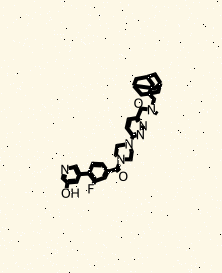 CN(CC12CC3CC(CC(C3)C1)C2)C(=O)c1ccc(N2CCN(C(=O)c3ccc(-c4cncc(O)c4)c(F)c3)CC2)nn1